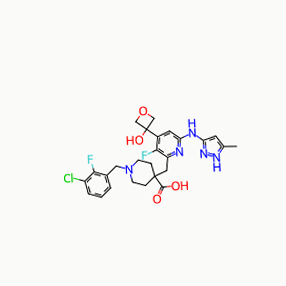 Cc1cc(Nc2cc(C3(O)COC3)c(F)c(CC3(C(=O)O)CCN(Cc4cccc(Cl)c4F)CC3)n2)n[nH]1